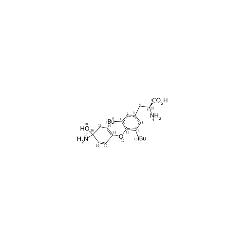 CCC(C)c1cc(C[C@H](N)C(=O)O)cc(C(C)CC)c1OC1=CCC(N)(O)C=C1